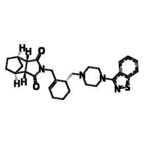 O=C1[C@@H]2[C@H]3CC[C@H](C3)[C@@H]2C(=O)N1CC1=CCCC[C@H]1CN1CCN(c2nsc3ccccc23)CC1